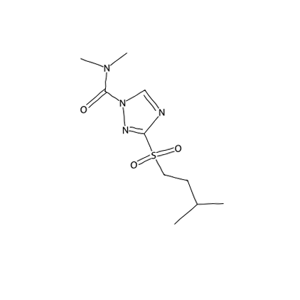 CC(C)CCS(=O)(=O)c1ncn(C(=O)N(C)C)n1